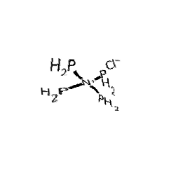 P[N+](P)(P)P.[Cl-]